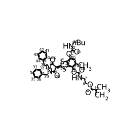 C=C(C)C(=O)OCCNC(=O)Oc1c(C)cc(OC(=O)NCCCC)c2c1SC(=C1C(=O)N(Cc3ccccc3)N(Cc3ccccc3)C1=O)S2